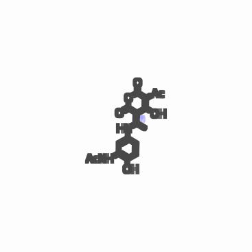 CC(=O)Nc1cc(N/C(C)=C2\C(=O)OC(=O)C(C(C)=O)=C2O)ccc1O